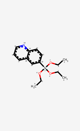 CCO[Si](OCC)(OCC)c1ccc2ncccc2c1